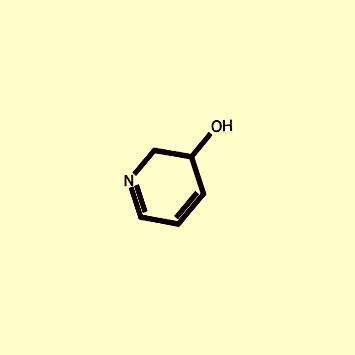 OC1C=CC=NC1